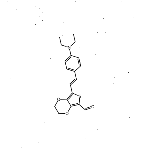 CCN(CC)c1ccc(C=Cc2sc(C=O)c3c2OCCO3)cc1